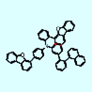 c1cc(-c2ccccc2-c2cccc3ccccc23)cc(N(c2ccc(-c3cccc4c3oc3ccccc34)cc2)c2ccccc2-c2cccc3c2oc2ccccc23)c1